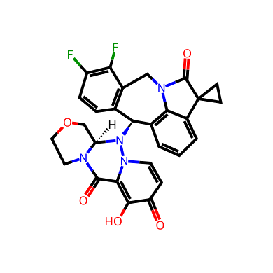 O=C1c2c(O)c(=O)ccn2N([C@H]2c3ccc(F)c(F)c3CN3C(=O)C4(CC4)c4cccc2c43)[C@@H]2COCCN12